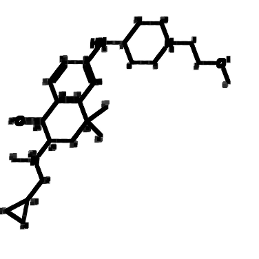 COCCN1CCC(Nc2ccc3c(c2)C(C)(C)CC(N(C)CC2CC2)C3=O)CC1